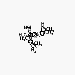 CC(C)n1c(=O)c2cnc(Nc3ccc4c(c3)CNCC4(C)C)nc2n1-c1ccnc(C(C)(C)C)c1.Cl.Cl